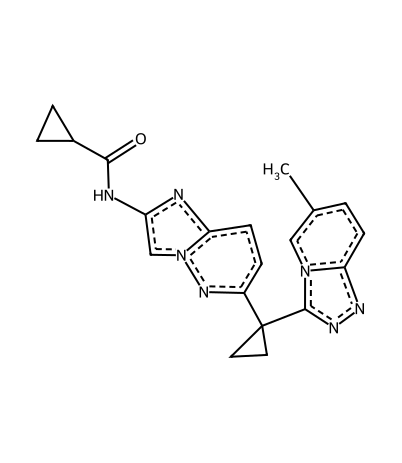 Cc1ccc2nnc(C3(c4ccc5nc(NC(=O)C6CC6)cn5n4)CC3)n2c1